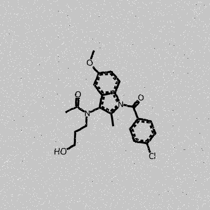 COc1ccc2c(c1)c(N(CCCO)C(C)=O)c(C)n2C(=O)c1ccc(Cl)cc1